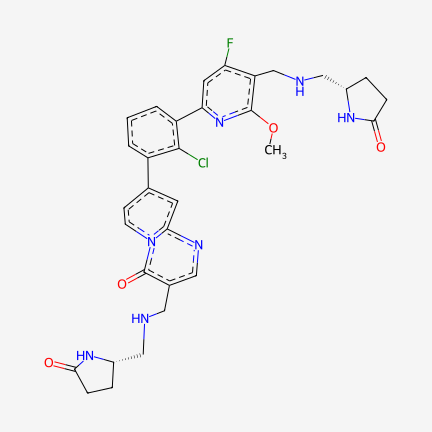 COc1nc(-c2cccc(-c3ccn4c(=O)c(CNC[C@@H]5CCC(=O)N5)cnc4c3)c2Cl)cc(F)c1CNC[C@@H]1CCC(=O)N1